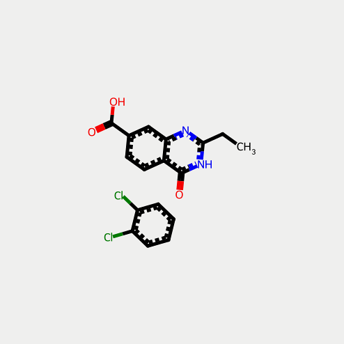 CCc1nc2cc(C(=O)O)ccc2c(=O)[nH]1.Clc1ccccc1Cl